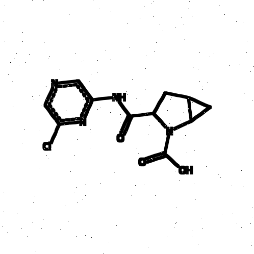 O=C(Nc1cncc(Cl)n1)C1CC2CC2N1C(=O)O